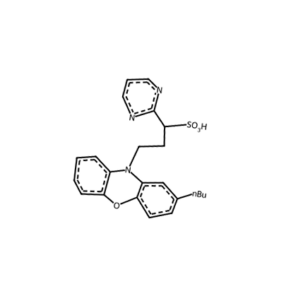 CCCCc1ccc2c(c1)N(CCC(c1ncccn1)S(=O)(=O)O)c1ccccc1O2